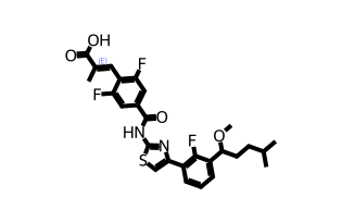 COC(CCC(C)C)c1cccc(-c2csc(NC(=O)c3cc(F)c(/C=C(\C)C(=O)O)c(F)c3)n2)c1F